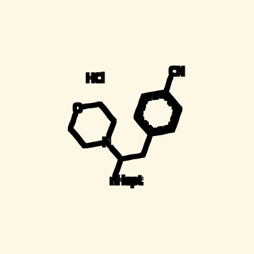 CCCCCCCC(Cc1ccc(C#N)cc1)N1CCOCC1.Cl